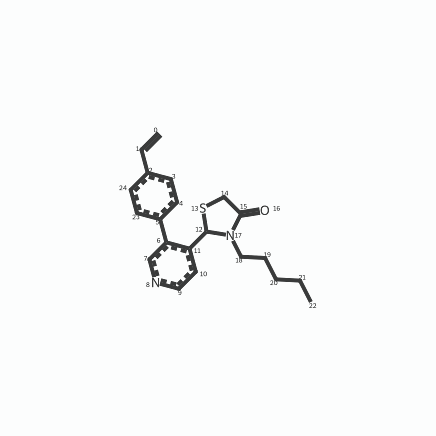 C=Cc1ccc(-c2cnccc2C2SCC(=O)N2CCCCC)cc1